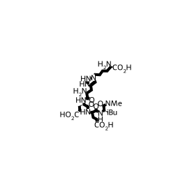 CCC(C)[C@H](NC(=O)C(CCC(=O)O)NC(=O)[C@H](CCC(=O)O)NC(=O)C(N)CC1=CN(CCCC[C@H](N)C(=O)O)NN1)C(=O)NC